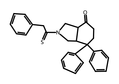 O=C1CCC(c2ccccc2)(c2ccccc2)C2CN(C(=S)Cc3ccccc3)CC12